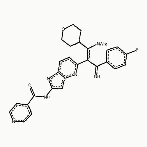 CN/C(=C(\C(=N)c1ccc(F)cc1)c1ccc2nc(NC(=O)c3ccncc3)cn2n1)C1CCOCC1